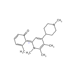 CC1=CC=CC(=O)/C1=C1\C=C(C2CCN(C)CC2)C(C)=C(C)N1C